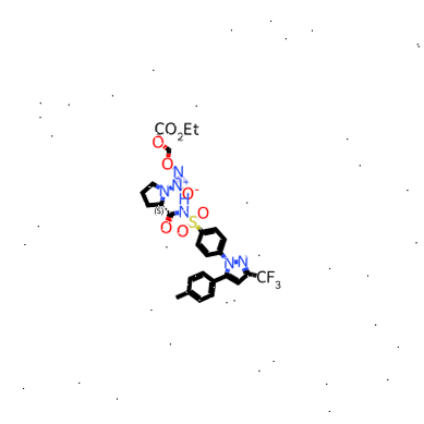 CCOC(=O)OCO/N=[N+](/[O-])N1CCC[C@H]1C(=O)NS(=O)(=O)c1ccc(-n2nc(C(F)(F)F)cc2-c2ccc(C)cc2)cc1